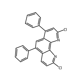 Clc1ccc2c(-c3ccccc3)cc3c(-c4ccccc4)cc(Cl)nc3c2n1